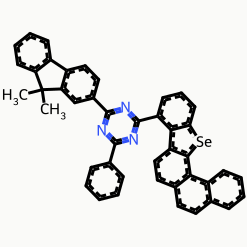 CC1(C)c2ccccc2-c2ccc(-c3nc(-c4ccccc4)nc(-c4cccc5[se]c6c(ccc7ccc8ccccc8c76)c45)n3)cc21